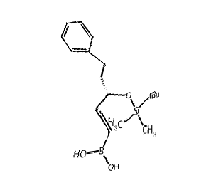 CC(C)(C)[Si](C)(C)O[C@H](C=CB(O)O)CCc1ccccc1